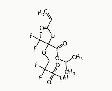 C=CC(=O)OC(OCC(F)(F)S(=O)(=O)O)(C(=O)OC(C)C)C(F)(F)F